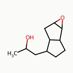 CC(O)CC1CCC2C1CC1OC12